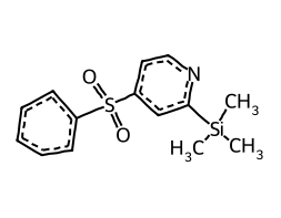 C[Si](C)(C)c1cc(S(=O)(=O)c2ccccc2)ccn1